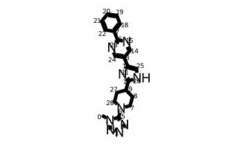 Cn1nnnc1N1CCC(c2nc(-c3cnc(-c4ccccc4)nc3)c[nH]2)CC1